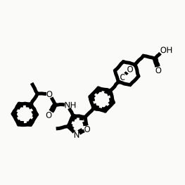 Cc1noc(-c2ccc(C34CCC(CC(=O)O)(CC3)OC4)cc2)c1NC(=O)OC(C)c1ccccc1